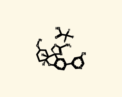 CC(C)O[C@@H]1CC[C@@H]2Oc3ccc(-c4cncc(C#N)c4)cc3[C@@]3(COC(N)=N3)[C@H]2C1.O=C(O)C(F)(F)F